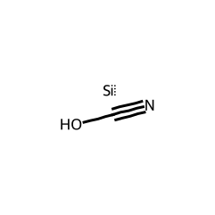 N#CO.[Si]